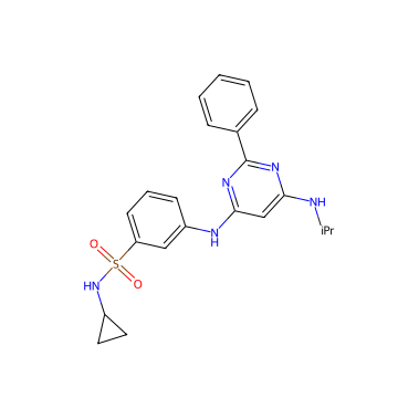 CC(C)Nc1cc(Nc2cccc(S(=O)(=O)NC3CC3)c2)nc(-c2ccccc2)n1